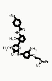 CCCN(CC)CCOc1ccc(Nc2nc(-c3cccc(NC(=O)c4ccc(C(C)(C)C)cc4)c3C)cn(C)c2=O)cc1N